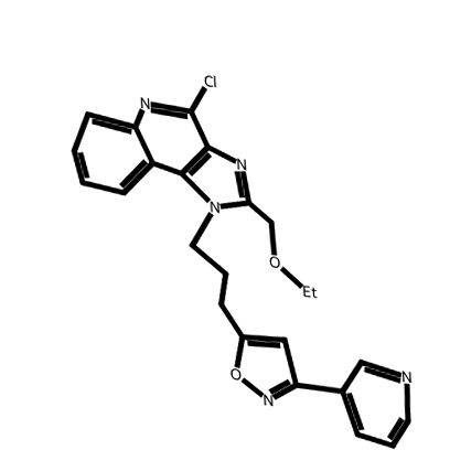 CCOCc1nc2c(Cl)nc3ccccc3c2n1CCCc1cc(-c2cccnc2)no1